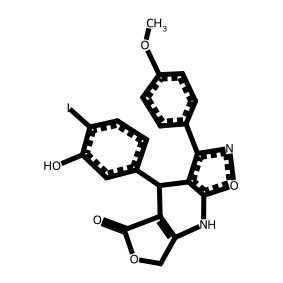 COc1ccc(-c2noc3c2C(c2ccc(I)c(O)c2)C2=C(COC2=O)N3)cc1